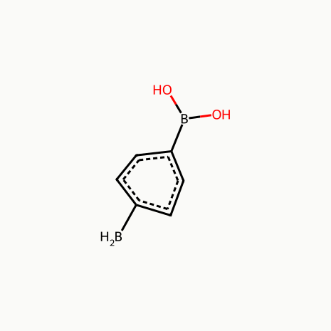 Bc1ccc(B(O)O)cc1